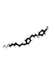 CCCCCCCCC1CCC(CCCOC2CCC(C#N)CC2)CC1